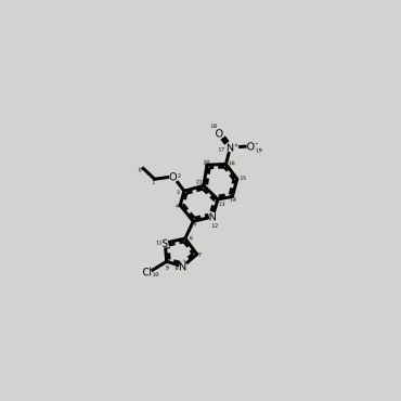 CCOc1cc(-c2cnc(Cl)s2)nc2ccc([N+](=O)[O-])cc12